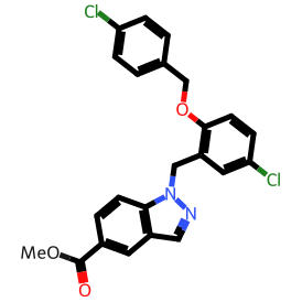 COC(=O)c1ccc2c(cnn2Cc2cc(Cl)ccc2OCc2ccc(Cl)cc2)c1